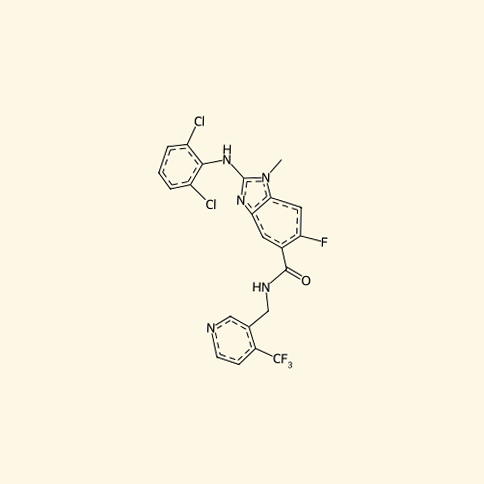 Cn1c(Nc2c(Cl)cccc2Cl)nc2cc(C(=O)NCc3cnccc3C(F)(F)F)c(F)cc21